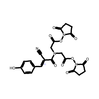 N#C/C(=C\c1ccc(O)cc1)C(=O)N(CC(=O)ON1C(=O)CCC1=O)CC(=O)ON1C(=O)CCC1=O